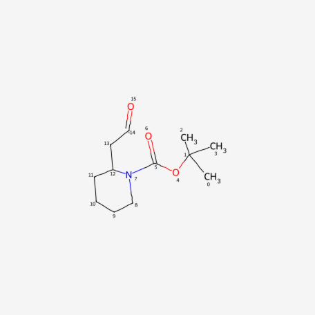 CC(C)(C)OC(=O)N1CCCCC1C[C]=O